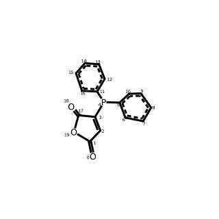 O=C1C=C(P(c2ccccc2)c2ccccc2)C(=O)O1